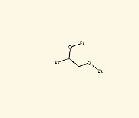 [CH2]CC(COCC)OCC